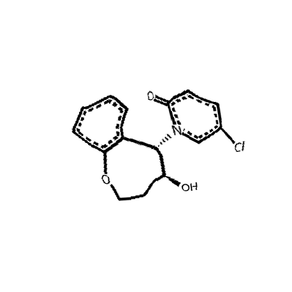 O=c1ccc(Cl)cn1[C@H]1c2ccccc2OCC[C@@H]1O